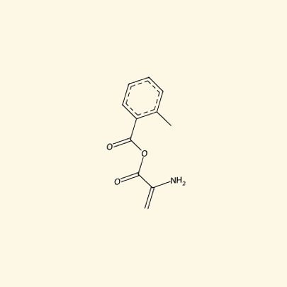 C=C(N)C(=O)OC(=O)c1ccccc1C